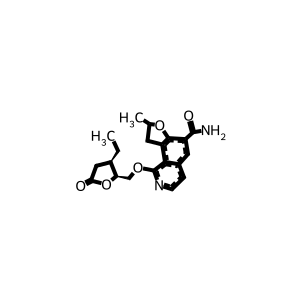 CC[C@@H]1CC(=O)O[C@@H]1COc1nccc2cc(C(N)=O)c3c(c12)CC(C)O3